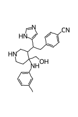 Cc1cccc(NC2(CO)CCNCC2C(Cc2ccc(C#N)cc2)c2cnc[nH]2)c1